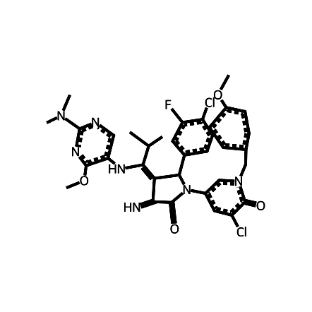 COc1ccc(Cn2cc(N3C(=O)C(=N)/C(=C(\Nc4cnc(N(C)C)nc4OC)C(C)C)C3c3ccc(Cl)c(F)c3)cc(Cl)c2=O)cc1